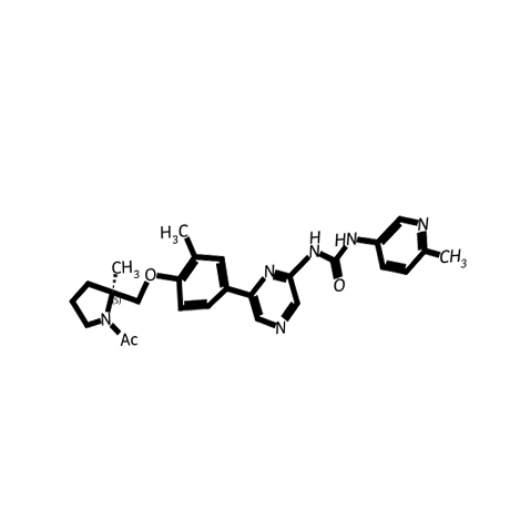 CC(=O)N1CCC[C@@]1(C)COc1ccc(-c2cncc(NC(=O)Nc3ccc(C)nc3)n2)cc1C